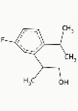 C[C](CO)c1cc(F)ccc1C(C)C